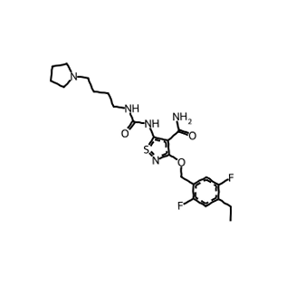 CCc1cc(F)c(COc2nsc(NC(=O)NCCCCN3CCCC3)c2C(N)=O)cc1F